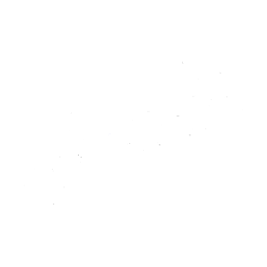 Cc1oc(-c2ccccc2)nc1/C=C/c1ccc(COc2ccccc2CC(=O)O)cc1